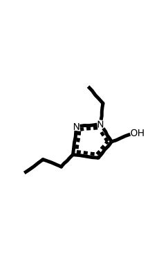 CCCc1cc(O)n(CC)n1